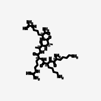 C[C@H](NC(=O)[C@H](C)NC(=O)[C@H](CCCNC(=N)N)NC(=O)[C@H](CCCCN)NC(=O)[C@@H](N)CCCCN)C(=O)N[C@@H](CCCNC(=N)N)C(N)=O